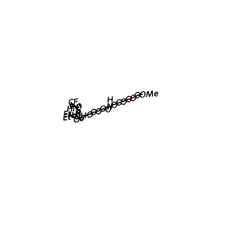 CCN(CC)c1ccc(NC(=O)c2cccc(CCCOCCOCCOCCOCCC(=O)NCCOCCOCCOCCOCCOCCOCCOC)c2)c(-c2cc(C(=O)NCc3cccc(C(F)(F)F)c3)ccn2)c1